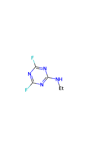 CCNc1nc(F)nc(F)n1